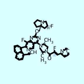 C#Cc1cccc2cccc(-c3ncc4c(N5C[C@H](C)N(C(=O)/C(F)=C/c6ccccn6)C[C@H]5C)nc(OC[C@@]56CCCN5C[C@H](F)C6)nc4c3F)c12